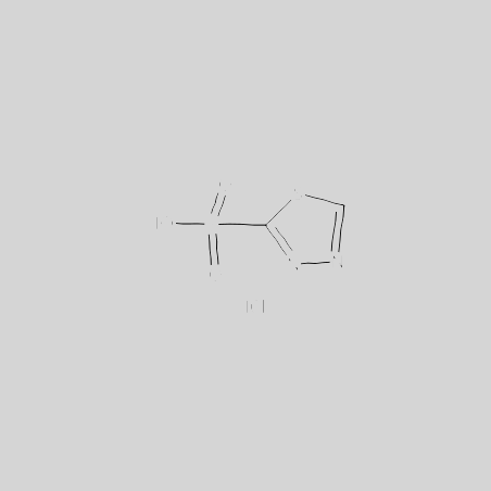 Cl.O=S(=O)(O)c1nncs1